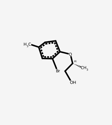 Cc1ccc(O[C@H](C)CO)c(Br)c1